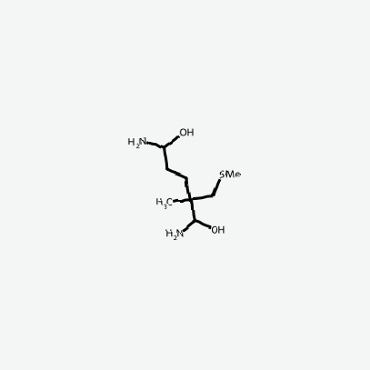 CSCC(C)(CCC(N)O)C(N)O